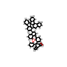 c1ccc2c(c1)Oc1c(-c3ccc(-c4ccc5c(c4)C4(c6ccccc6-5)c5ccccc5-c5c4ccc4ccccc54)c4ccccc34)cccc1C21c2ccccc2-c2ccccc21